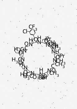 CC[C@H](C)[C@@H]1NC(=O)[C@H](CC(C)C)N(C)C(=O)C[C@@H](C)N(C)C(=O)[C@H](CC(C)C)NC(=O)C(C)(C)N(C)C(=O)[C@H](CC(C)C)NC(=O)[C@H](CCc2ccc(C(F)(F)F)c(Cl)c2)NC(=O)CN(C)C(=O)[C@H](CC2CCCCC2)N(C)C(=O)[C@@H]2CCN2C(=O)[C@H](C)N(C)C1=O